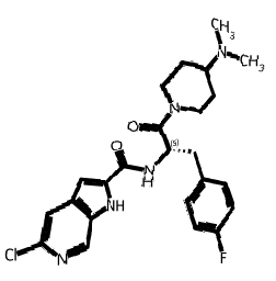 CN(C)C1CCN(C(=O)[C@H](Cc2ccc(F)cc2)NC(=O)c2cc3cc(Cl)ncc3[nH]2)CC1